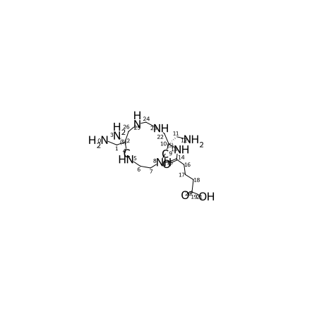 NC[C@]1(N)CNCCNC[C@](CN)(NC(=O)CCCC(=O)O)CNCNC1